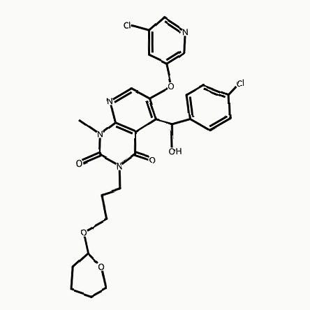 Cn1c(=O)n(CCCOC2CCCCO2)c(=O)c2c(C(O)c3ccc(Cl)cc3)c(Oc3cncc(Cl)c3)cnc21